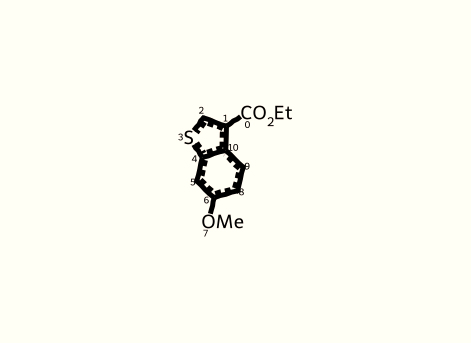 CCOC(=O)c1csc2cc(OC)ccc12